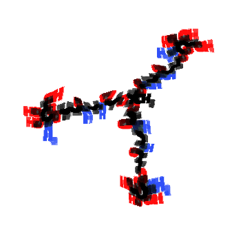 CC(COCCC(=O)NCCCNC(=O)CCCCOC1OC(CO)C(O)C(O)C1N)(COCCC(=O)NCCCNC(=O)CCCCOC1OC(CO)C(O)C(O)C1N)COC(=O)NCCCNC(=O)CCCCOC1OC(CO)C(O)C(O)C1N